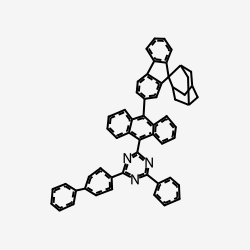 c1ccc(-c2ccc(-c3nc(-c4ccccc4)nc(-c4c5ccccc5c(-c5ccc6c(c5)C5(c7ccccc7-6)C6CC7CC(C6)CC5C7)c5ccccc45)n3)cc2)cc1